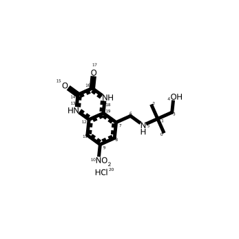 CC(C)(CO)NCc1cc([N+](=O)[O-])cc2[nH]c(=O)c(=O)[nH]c12.Cl